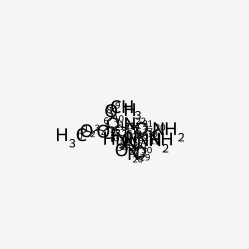 COCCOc1cc(OC)cc(C(Nc2ccc(C(=N)N)cc2)c2nn(-c3ncccc3N)c(=O)[nH]2)c1F